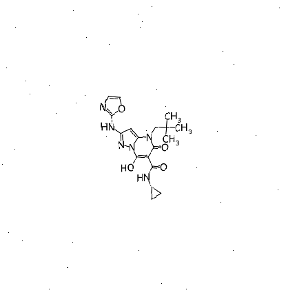 CC(C)(C)Cn1c(=O)c(C(=O)NC2CC2)c(O)n2nc(Nc3ncco3)cc12